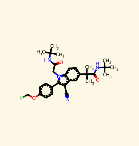 CC(C)(C)NC(=O)Cn1c(-c2ccc(OCF)cc2)c(C#N)c2cc(C(C)(C)C(=O)NC(C)(C)C)ccc21